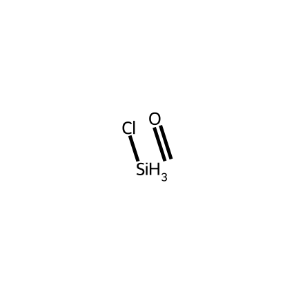 C=O.[SiH3]Cl